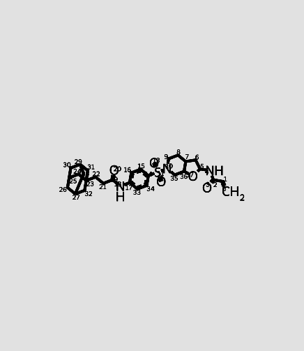 C=CC(=O)NC1CC2CCN(S(=O)(=O)c3ccc(NC(=O)CCC45CC6CC(CC(C6)C4)C5)cc3)CC2O1